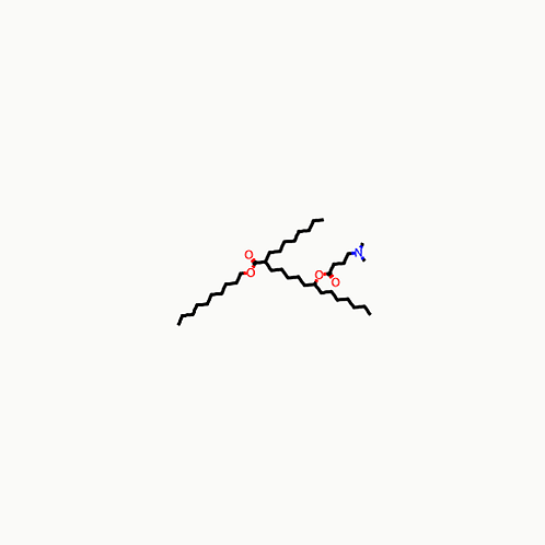 CCCCCCCCCCOC(=O)C(CCCCCCCC)CCCCCC(CCCCCCC)OC(=O)CCCN(C)C